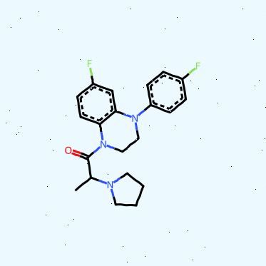 CC(C(=O)N1CCN(c2ccc(F)cc2)c2cc(F)ccc21)N1CCCC1